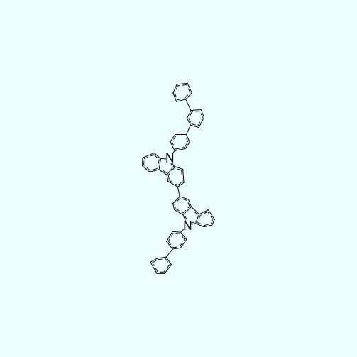 c1ccc(-c2ccc(-n3c4ccccc4c4cc(-c5ccc6c(c5)c5ccccc5n6-c5ccc(-c6cccc(-c7ccccc7)c6)cc5)ccc43)cc2)cc1